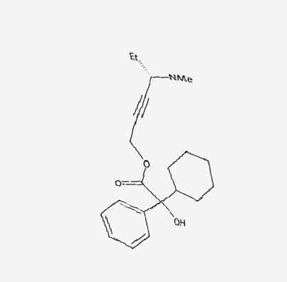 CC[C@@H](C#CCOC(=O)C(O)(c1ccccc1)C1CCCCC1)NC